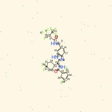 C[C@@H](NC(=O)CC(C(F)(F)F)C(F)(F)F)c1ccc2nc([C@@H](NC(=O)c3cc(F)ccc3F)C3CCC(F)(F)CC3)[nH]c2c1